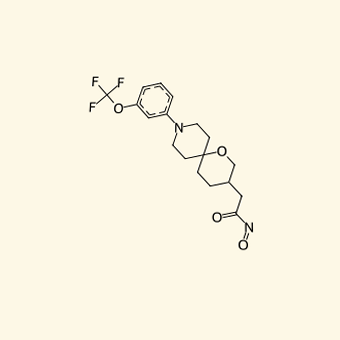 O=NC(=O)CC1CCC2(CCN(c3cccc(OC(F)(F)F)c3)CC2)OC1